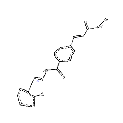 O=C(/C=C/c1ccc(C(=O)N/N=C/c2cccnc2Cl)cc1)NO